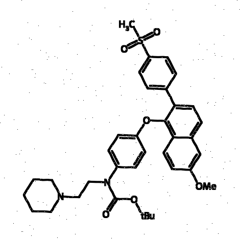 COc1ccc2c(Oc3ccc(N(CCN4CCCCC4)C(=O)OC(C)(C)C)cc3)c(-c3ccc(S(C)(=O)=O)cc3)ccc2c1